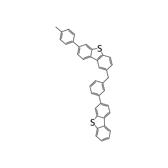 Cc1ccc(-c2ccc3c(c2)sc2ccc(Cc4cccc(-c5ccc6c(c5)sc5ccccc56)c4)cc23)cc1